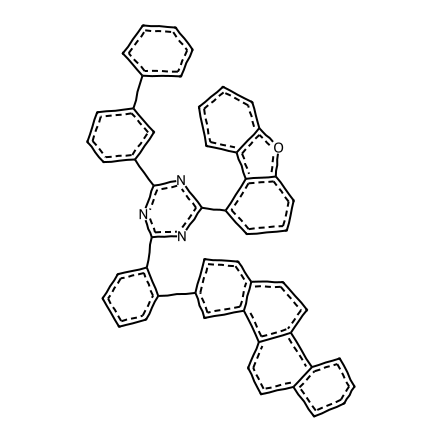 c1ccc(-c2cccc(-c3nc(-c4ccccc4-c4ccc5ccc6c7ccccc7ccc6c5c4)nc(-c4cccc5oc6ccccc6c45)n3)c2)cc1